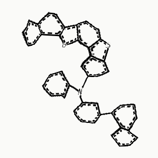 c1ccc(N(c2cccc(-c3cccc4ccccc34)c2)c2ccc3sc4ccc5c6ccc7ccccc7c6oc5c4c3c2)cc1